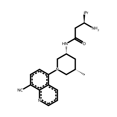 CC(C)[C@@H](N)CC(=O)N[C@@H]1C[C@H](C)CN(c2ccc(C#N)c3ncccc23)C1